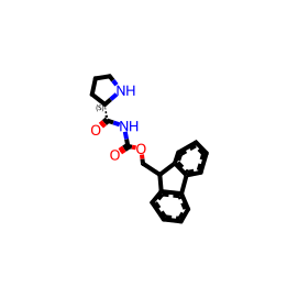 O=C(NC(=O)[C@@H]1CCCN1)OCC1c2ccccc2-c2ccccc21